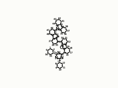 c1ccc(-c2nc(-c3ccccc3)nc(-c3cccc4c3oc3c(-c5cccc6c5sc5c(-n7c8ccccc8c8ccccc87)cccc56)cccc34)n2)cc1